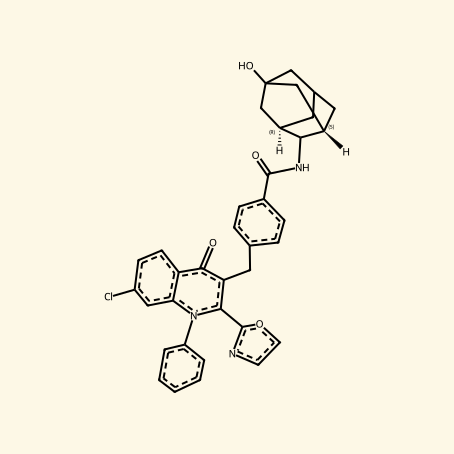 O=C(NC1[C@@H]2CC3C[C@H]1CC(O)(C3)C2)c1ccc(Cc2c(-c3ncco3)n(-c3ccccc3)c3cc(Cl)ccc3c2=O)cc1